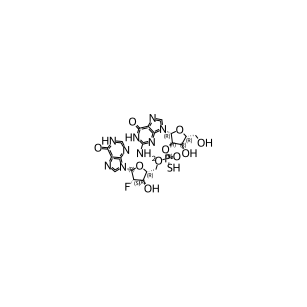 Nc1nc2c(ncn2[C@@H]2O[C@H](CO)[C@@H](O)[C@H]2O[P@](=O)(S)OC[C@H]2O[C@@H](n3cnc4c(=O)[nH]cnc43)[C@@H](F)[C@@H]2O)c(=O)[nH]1